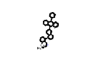 C#C/C=C\c1c(C)cccc1-c1cccc2cc(-c3c4ccccc4c(-c4ccccc4)c4ccccc34)ccc12